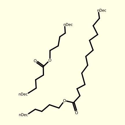 CCCCCCCCCCCCCCCCCCCCCC(=O)OCCCCCCCCCCCCCC.CCCCCCCCCCCCCCOC(=O)CCCCCCCCCCCCC